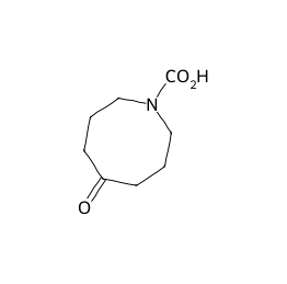 O=C1CCCN(C(=O)O)CCC1